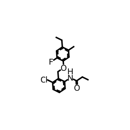 CCC(=O)Nc1cccc(Cl)c1COc1cc(C)c(CC)cc1F